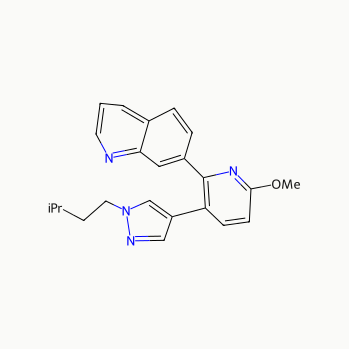 COc1ccc(-c2cnn(CCC(C)C)c2)c(-c2ccc3cccnc3c2)n1